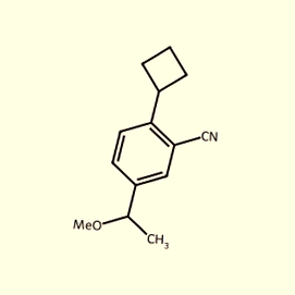 COC(C)c1ccc(C2CCC2)c(C#N)c1